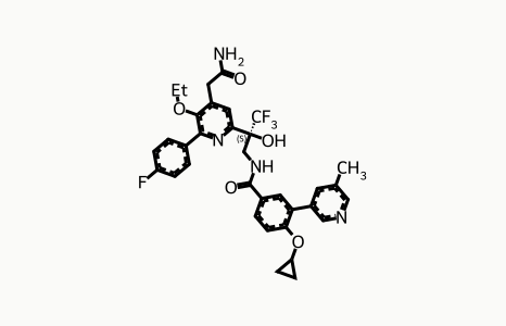 CCOc1c(CC(N)=O)cc([C@@](O)(CNC(=O)c2ccc(OC3CC3)c(-c3cncc(C)c3)c2)C(F)(F)F)nc1-c1ccc(F)cc1